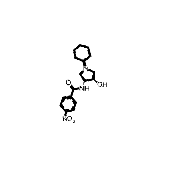 O=C(N[C@@H]1CN(C2CCCCC2)C[C@H]1O)c1ccc([N+](=O)[O-])cc1